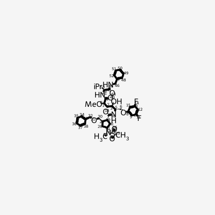 CO[C@H](C[C@H](O)[C@H](COc1cc(F)cc(F)c1)NC(=O)[C@@H]1C[C@@H](N(C)S(C)(=O)=O)C[C@H]1COCc1ccccc1)C(=O)N[C@H](C(=O)NCc1ccccc1)C(C)C